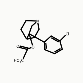 O=C(O)C(=O)OC1(c2cccc(Cl)c2)CN2CCC1CC2